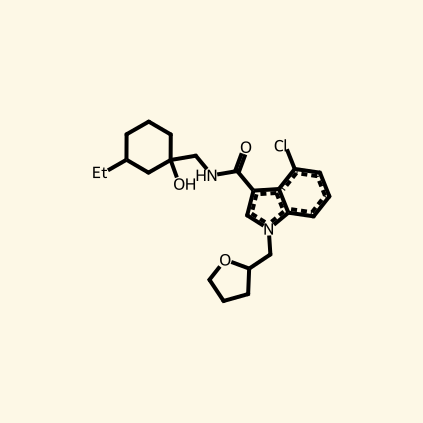 CCC1CCCC(O)(CNC(=O)c2cn(CC3CCCO3)c3cccc(Cl)c23)C1